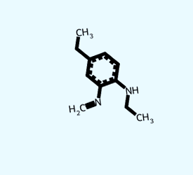 C=Nc1cc(CC)ccc1NCC